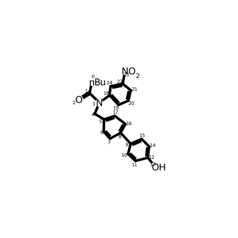 CCCCC(=O)N(Cc1ccc(-c2ccc(O)cc2)cc1)c1cccc([N+](=O)[O-])c1